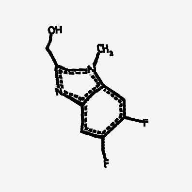 Cn1c(CO)nc2cc(F)c(F)cc21